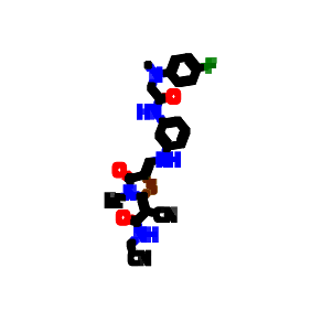 CCn1c(=C(C#N)C(=O)NCC#N)sc(=CNc2cccc(NC(=O)CN(C)c3ccc(F)cc3)c2)c1=O